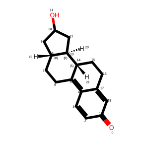 O=C1C=CC2=C3CC[C@@H]4CC(O)C[C@H]4[C@@H]3CCC2=C1